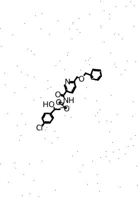 O=C(NS(=O)(=O)CC(O)c1ccc(Cl)cc1)c1ccc(COCc2ccccc2)nc1